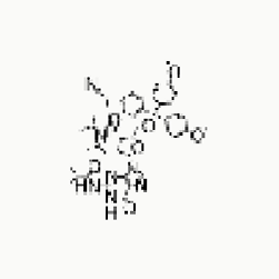 COc1ccc(C(OC[C@H]2O[C@@H](n3cnc4c(=O)[nH]c(NC(=O)C(C)C)nc43)C[C@@H]2P(OCCC#N)N(C(C)C)C(C)C)(c2ccccc2)c2ccc(OC)cc2)cc1